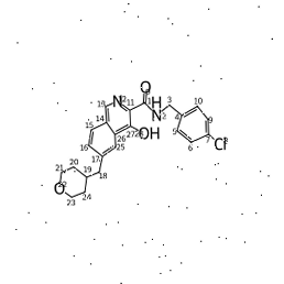 O=C(NCc1ccc(Cl)cc1)c1ncc2ccc(CC3CCOCC3)cc2c1O